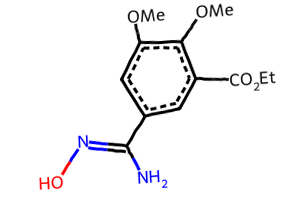 CCOC(=O)c1cc(/C(N)=N/O)cc(OC)c1OC